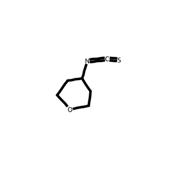 S=C=NC1CCOCC1